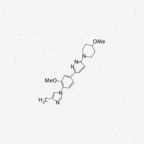 COc1cc(-c2ccc(N3CCC(OC)CC3)nn2)ccc1-n1cnc(C)c1